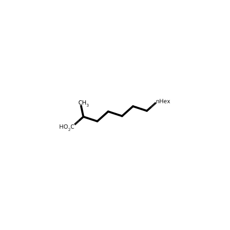 CCCCCCCCCCCC(C)C(=O)O